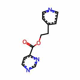 O=C(OCCc1ccncc1)c1ccncn1